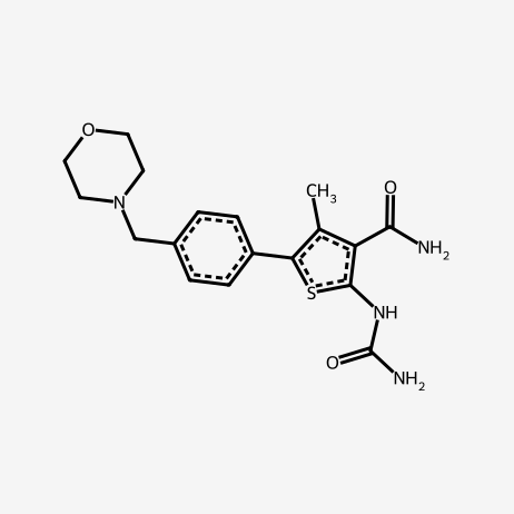 Cc1c(-c2ccc(CN3CCOCC3)cc2)sc(NC(N)=O)c1C(N)=O